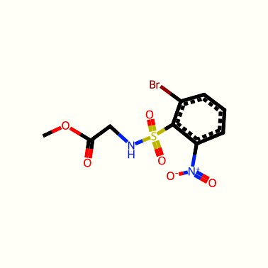 COC(=O)CNS(=O)(=O)c1c(Br)cccc1[N+](=O)[O-]